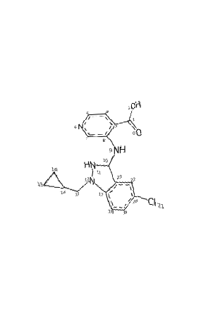 O=C(O)c1ccncc1NC1NN(CC2CC2)c2ccc(Cl)cc21